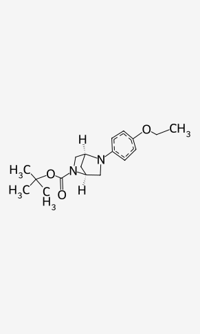 CCOc1ccc(N2C[C@@H]3C[C@H]2CN3C(=O)OC(C)(C)C)cc1